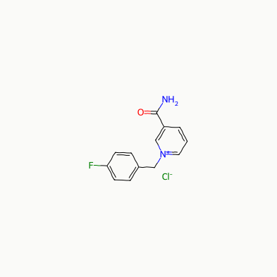 NC(=O)c1ccc[n+](Cc2ccc(F)cc2)c1.[Cl-]